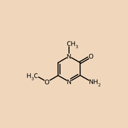 COc1cn(C)c(=O)c(N)n1